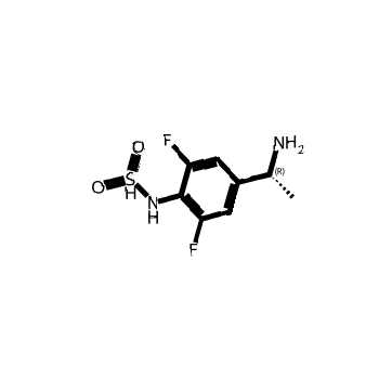 C[C@@H](N)c1cc(F)c(N[SH](=O)=O)c(F)c1